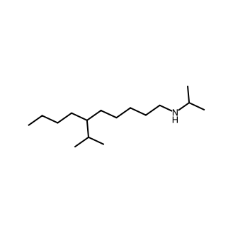 CCCCC(CCCCCNC(C)C)C(C)C